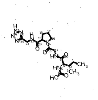 CC[C@H](C)[C@H](NC(=O)O)C(=O)NCC(=O)N1CCCC1C(=O)NCc1nn[nH]n1